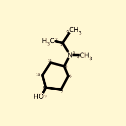 CC(C)N(C)C1CCC(O)CC1